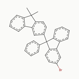 CC1(C)c2ccccc2-c2cc(C3(c4ccccc4)c4ccccc4-c4cc(Br)ccc43)ccc21